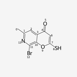 Cc1cc2c(=O)cc(S)oc2c(Br)n1